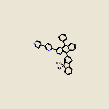 CC1(C)c2ccccc2-c2ccc(-c3c4ccccc4c(-c4ccccc4)c4cc(-c5ccc(-c6ccncc6)cn5)ccc34)cc21